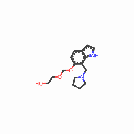 OCCOCOc1ccc2cc[nH]c2c1CN1CCCC1